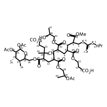 CCCSC(=S)SCC(CC(CC(CC(CC(C(=O)OCC1O[C@H](OC(C)=O)C(OC(C)=O)[C@@H](C)[C@@H]1C)C(C)(C#N)CCC(=O)O)C(=O)OCC(C)OC(C)=O)C(=O)OCC(C)O)C(=O)OCCC(=O)O)C(=O)OC